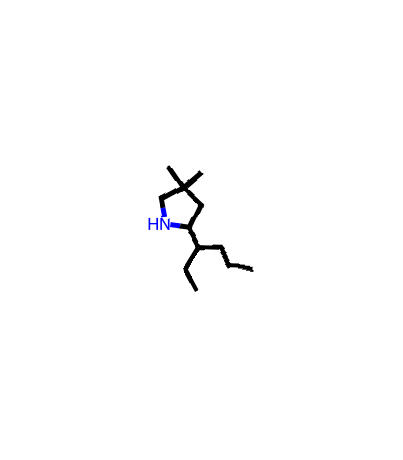 CCCC(CC)C1CC(C)(C)CN1